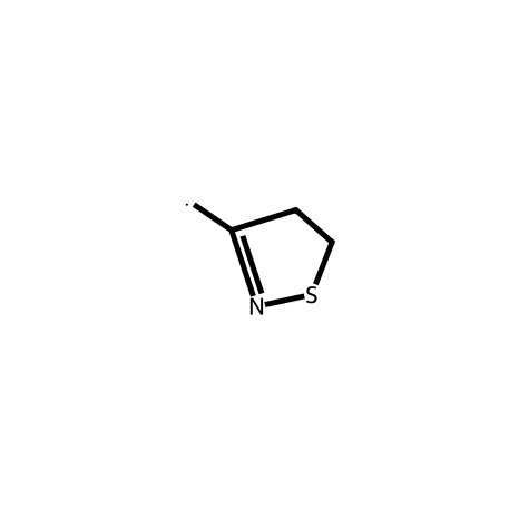 [CH2]C1=NSCC1